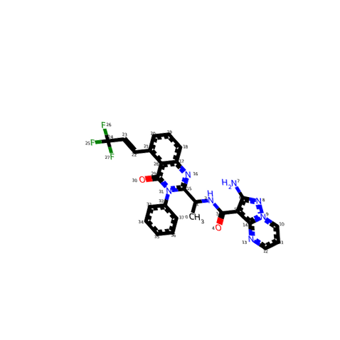 CC(NC(=O)c1c(N)nn2cccnc12)c1nc2cccc(/C=C/C(F)(F)F)c2c(=O)n1-c1ccccc1